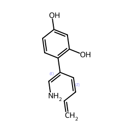 C=C/C=C\C(=C/N)c1ccc(O)cc1O